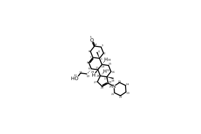 C[C@]12CCC(=O)CC1=C[C@@H](CCO)[C@@H]1[C@@H]2CC[C@]2(C)C(N3CCCCC3)=CC[C@@H]12